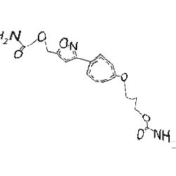 NC(=O)OCCCOc1ccc(-c2cc(COC(N)=O)on2)cc1